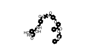 O=C(OCC1CCN(Cc2ccccc2)CC1)C(c1ccccc1)c1cccc(OCc2ccc(C(=O)N3CC4(CN(C(=O)c5ccc(CCNCC(O)c6ccc(O)c7[nH]c(=O)ccc67)cc5)C4)C3)cc2)c1